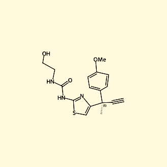 C#C[C@](C)(c1ccc(OC)cc1)c1csc(NC(=O)NCCO)n1